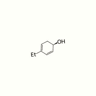 CCC1=CC[C@@H](O)C=C1